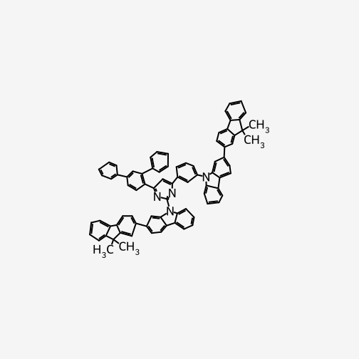 CC1(C)c2ccccc2-c2ccc(-c3ccc4c5ccccc5n(-c5cccc(-c6cc(-c7ccc(-c8ccccc8)cc7-c7ccccc7)nc(-n7c8ccccc8c8ccc(-c9ccc%10c(c9)C(C)(C)c9ccccc9-%10)cc87)n6)c5)c4c3)cc21